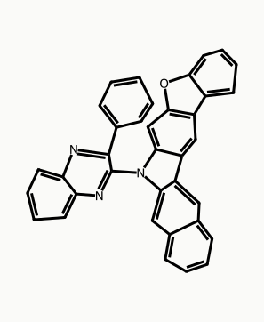 c1ccc(-c2nc3ccccc3nc2-n2c3cc4ccccc4cc3c3cc4c(cc32)oc2ccccc24)cc1